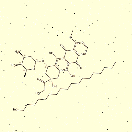 CCCCCCCCCCCCCCCCCCO.COc1cccc2c1C(=O)c1c(O)c3c(c(O)c1C2=O)C[C@@](O)(C(=O)CO)C[C@@H]3O[C@H]1C[C@H](N)[C@H](O)[C@H](C)O1